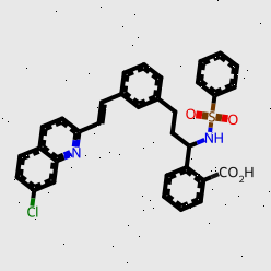 O=C(O)c1ccccc1C(CCc1cccc(/C=C/c2ccc3ccc(Cl)cc3n2)c1)NS(=O)(=O)c1ccccc1